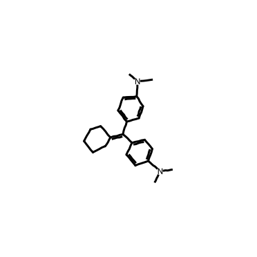 CN(C)c1ccc(C(=C2CCCCC2)c2ccc(N(C)C)cc2)cc1